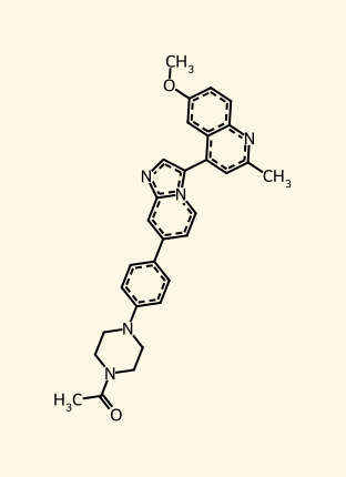 COc1ccc2nc(C)cc(-c3cnc4cc(-c5ccc(N6CCN(C(C)=O)CC6)cc5)ccn34)c2c1